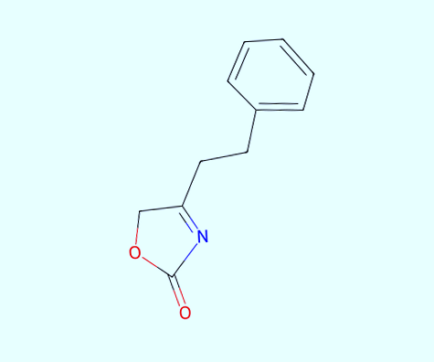 O=C1N=C(CCc2ccccc2)CO1